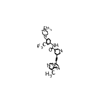 Cc1cncn2c(C#Cc3cncc(C(=O)Nc4ccc(CN5CCN(C)CC5)c(C(F)(F)F)c4)c3)cnc12